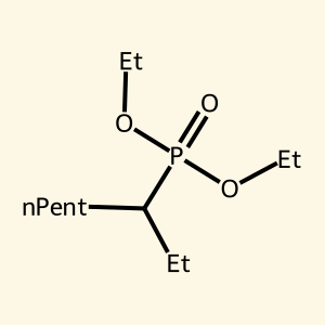 CCCCCC(CC)P(=O)(OCC)OCC